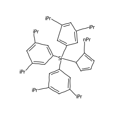 CCCC1=CC=C[C]1[Si](c1cc(C(C)C)cc(C(C)C)c1)(c1cc(C(C)C)cc(C(C)C)c1)c1cc(C(C)C)cc(C(C)C)c1